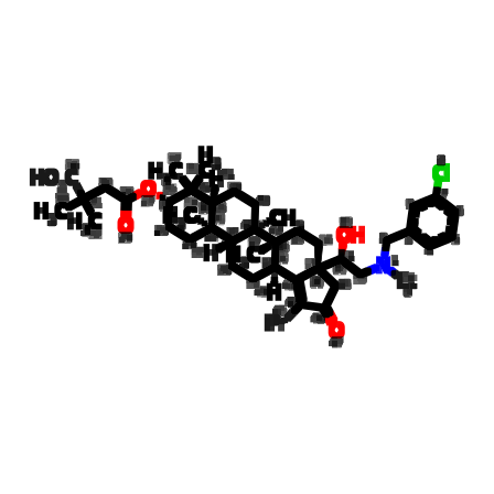 CCN(Cc1cccc(Cl)c1)C[C@H](O)[C@@]12CC[C@]3(C)[C@H](CC[C@@H]4[C@@]5(C)CC[C@H](OC(=O)CC(C)(C)C(=O)O)C(C)(C)[C@@H]5CC[C@]43C)C1=C(C(C)C)C(=O)C2